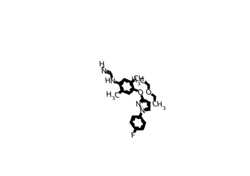 CCOCC.[H]/N=C/Nc1cc(C)c(Oc2ccn(-c3ccc(F)cc3)n2)cc1C